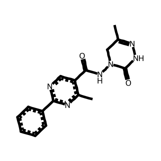 CC1=NNC(=O)N(NC(=O)c2cnc(-c3ccccc3)nc2C)C1